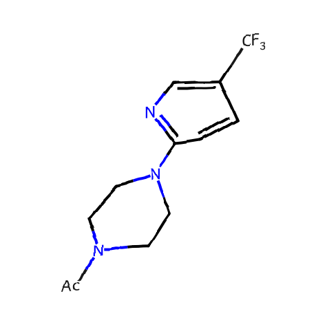 CC(=O)N1CCN(c2ccc(C(F)(F)F)cn2)CC1